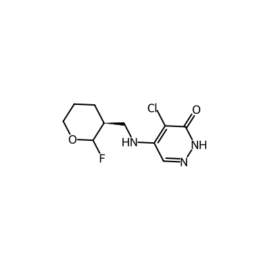 O=c1[nH]ncc(NC[C@@H]2CCCOC2F)c1Cl